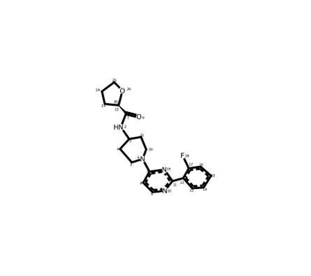 O=C(NC1CCN(c2ccnc(-c3ccccc3F)n2)CC1)[C@H]1CCCO1